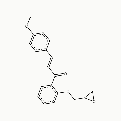 COc1ccc(C=CC(=O)c2ccccc2OCC2CO2)cc1